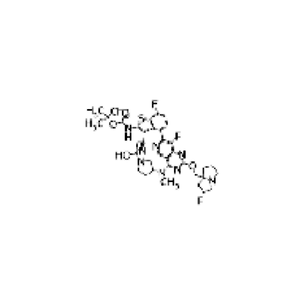 CN(c1nc(OC[C@@]23CCCN2C[C@H](F)C3)nc2c(F)c(-c3ccc(F)c4sc(NC(=O)OC(C)(C)C)c(C#N)c34)ncc12)[C@@H]1CCN(C(=O)O)C1